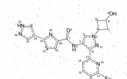 O=C(Nc1cn(C2CC(O)C2)nc1-c1cccc(F)n1)c1csc(-c2cn[nH]c2)n1